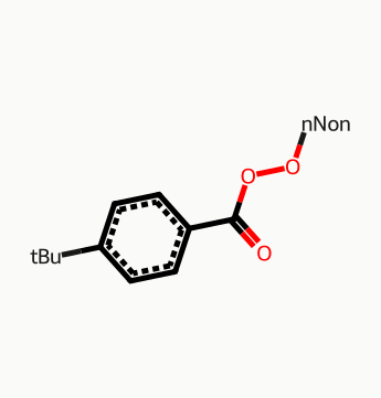 [CH2]CCCCCCCCOOC(=O)c1ccc(C(C)(C)C)cc1